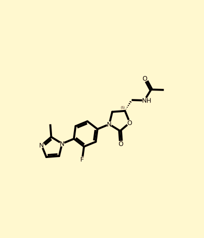 CC(=O)NC[C@H]1CN(c2ccc(-n3ccnc3C)c(F)c2)C(=O)O1